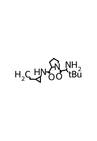 C=CC1CC1NC(=O)C1CCCN1C(=O)C(N)C(C)(C)C